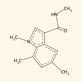 CNC(=O)c1cn(C)c2c(C)cc(C)cc12